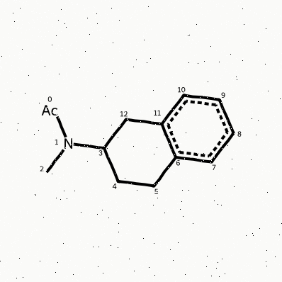 CC(=O)N(C)C1CCc2ccccc2C1